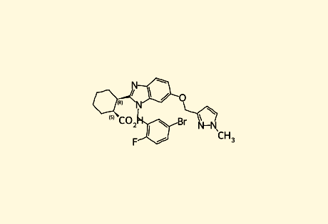 Cn1ccc(COc2ccc3nc([C@@H]4CCCC[C@@H]4C(=O)O)n(Cc4cc(Br)ccc4F)c3c2)n1